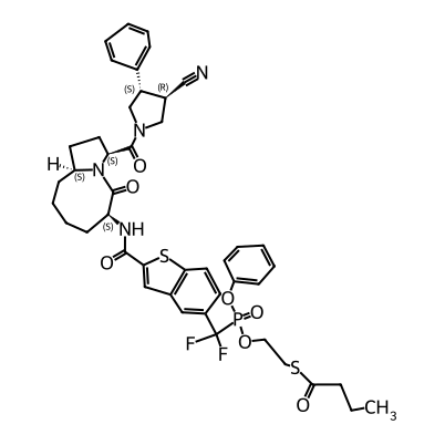 CCCC(=O)SCCOP(=O)(Oc1ccccc1)C(F)(F)c1ccc2sc(C(=O)N[C@H]3CCCC[C@H]4CC[C@@H](C(=O)N5C[C@H](c6ccccc6)[C@@H](C#N)C5)N4C3=O)cc2c1